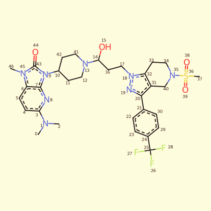 CN(C)c1ccc2c(n1)n(C1CCN(C(O)CCn3nc(-c4ccc(C(F)(F)F)cc4)c4c3CCN(S(C)(=O)=O)C4)CC1)c(=O)n2C